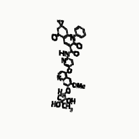 COc1cc2c(Oc3ccc(NC(=O)c4cc5c(n(-c6ccccc6)c4=O)CC4(CC4)CC5=O)nc3)ccnc2cc1OC[C@@H](O)C(C)(C)O